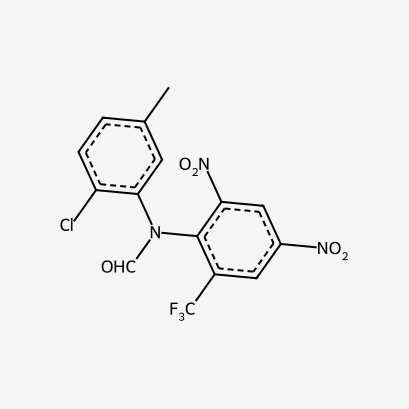 Cc1ccc(Cl)c(N(C=O)c2c([N+](=O)[O-])cc([N+](=O)[O-])cc2C(F)(F)F)c1